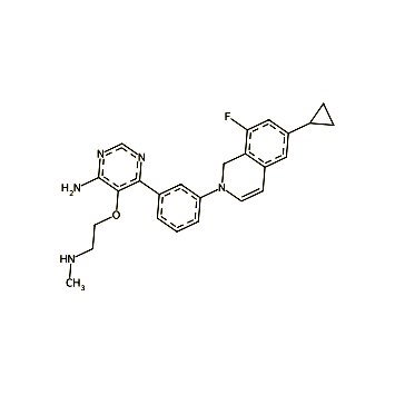 CNCCOc1c(N)ncnc1-c1cccc(N2C=Cc3cc(C4CC4)cc(F)c3C2)c1